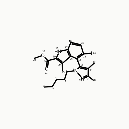 CCCCCn1nc(C)c(C)c1-c1c(I)ccc2[nH]c(C(=O)OC)c(C)c12